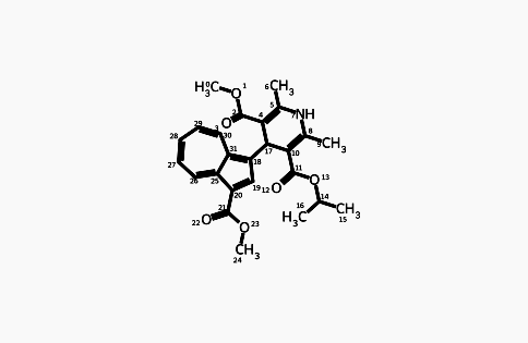 COC(=O)C1=C(C)NC(C)=C(C(=O)OC(C)C)C1c1cc(C(=O)OC)c2cccccc1-2